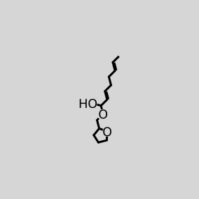 CC=CCC/C=C/C(O)OCC1CCCO1